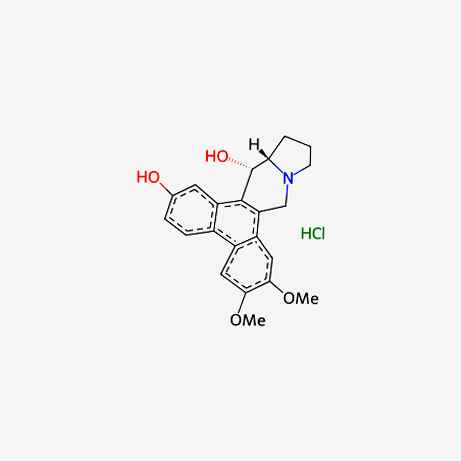 COc1cc2c3c(c4cc(O)ccc4c2cc1OC)[C@H](O)[C@@H]1CCCN1C3.Cl